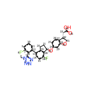 Cn1nnnc1-c1c(F)cccc1-c1ccc(F)c2c1CCC2Oc1ccc2c(c1)OC[C@H]2CC(=O)O